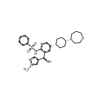 Cn1cc(C(=N)c2cc([C@H]3CC[C@@H](N4CCCOCC4)CC3)cnc2NS(=O)(=O)c2ccccc2)cn1